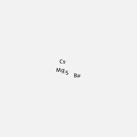 [Ba].[Cs].[Mg].[S]